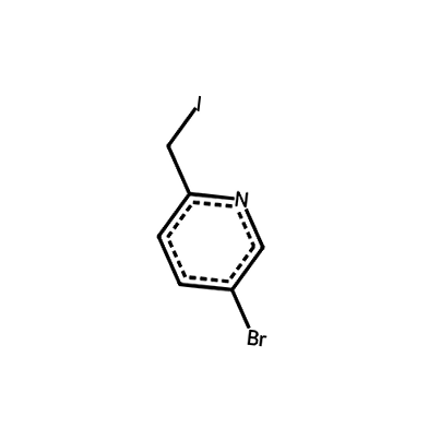 Brc1ccc(CI)nc1